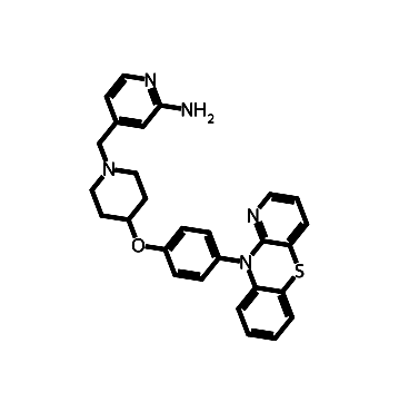 Nc1cc(CN2CCC(Oc3ccc(N4c5ccccc5Sc5cccnc54)cc3)CC2)ccn1